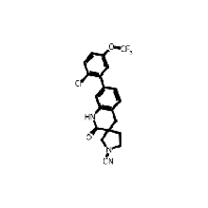 N#CN1CCC2(Cc3ccc(-c4cc(OC(F)(F)F)ccc4Cl)cc3NC2=O)C1